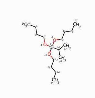 CCCCO[Si](OCCCC)(OCCCC)C(C)C